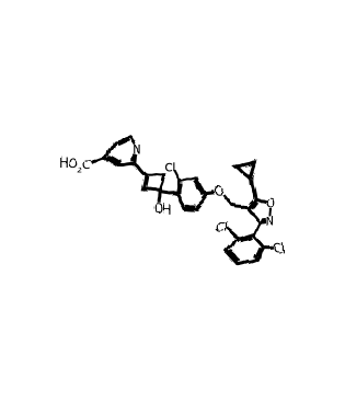 O=C(O)c1ccnc(C2CC(O)(c3ccc(OCc4c(-c5c(Cl)cccc5Cl)noc4C4CC4)cc3Cl)C2)c1